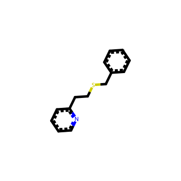 [c]1ccc(CSCCc2ccccn2)cc1